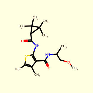 COCC(C)NC(=O)c1c(NC(=O)C2C(C)(C)C2(C)C)sc(C)c1C